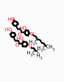 CC(C)=CCC/C(C)=C/COc1ccc(C(=O)/C=C/c2ccc(O)cc2)c(O)c1.CC(C)=CCOc1ccc(C(=O)/C=C/c2ccc(O)cc2)c(O)c1